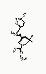 CC(C)(C)OC(=O)N1CC(Nc2ccc(Cl)nn2)CC(F)(F)C1